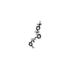 O=C(Cc1cccc(Br)c1)N/N=C/c1ccccc1OS(=O)(=O)c1ccc(C(F)(F)F)cc1